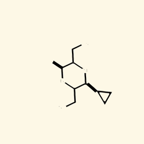 N#CCC1NC(=C2CC2)C(CC#N)NC1=O